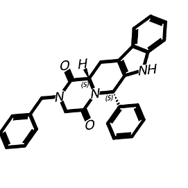 O=C1[C@@H]2Cc3c([nH]c4ccccc34)[C@H](c3ccccc3)N2C(=O)CN1Cc1ccccc1